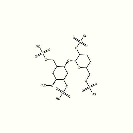 CO[C@H]1OC(COS(=O)(=O)O)[C@@H](O[C@H]2OC(COS(=O)(=O)O)CCC2OS(=O)(=O)O)CC1OS(=O)(=O)O